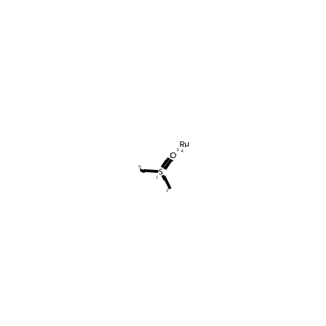 CS(C)=O.[Ru]